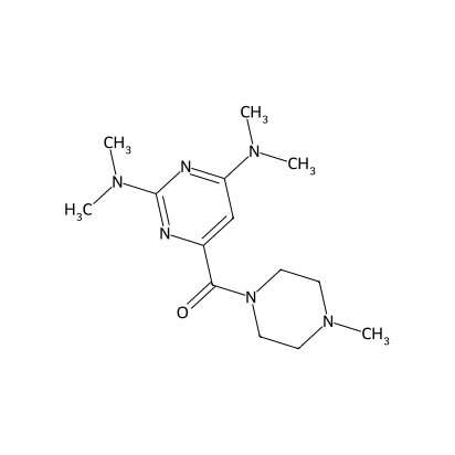 CN1CCN(C(=O)c2cc(N(C)C)nc(N(C)C)n2)CC1